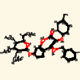 CC(=O)OC[C@H]1O[C@H](Oc2ccc3c(OCc4ccccc4)c(O[C@H]4CC[C@H](C)CC4)c(=O)oc3c2)[C@@H](OC(C)=O)[C@@H](OC(C)=O)[C@@H]1OC(C)=O